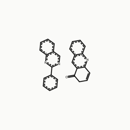 O=C1CC=Cc2nc3ccccc3cc21.c1ccc(-c2ncc3ccccc3n2)cc1